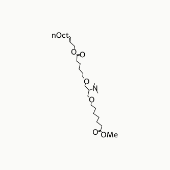 CCCCCCCCC=CCOC(=O)CCCCCOCC(COCCCCCCC(=O)OC)N(C)C